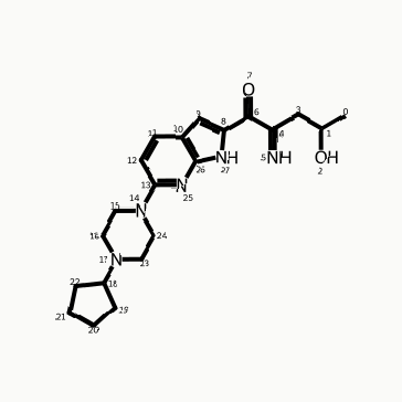 CC(O)CC(=N)C(=O)c1cc2ccc(N3CCN(C4CCCC4)CC3)nc2[nH]1